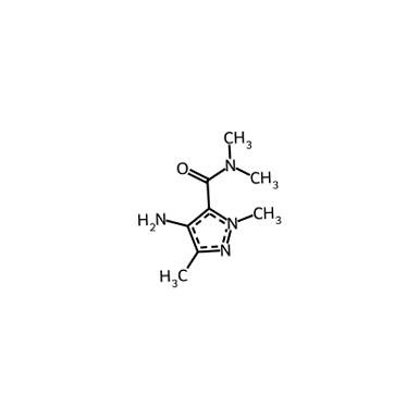 Cc1nn(C)c(C(=O)N(C)C)c1N